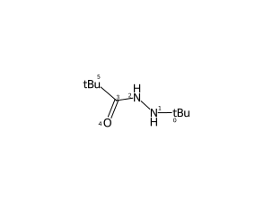 CC(C)(C)NNC(=O)C(C)(C)C